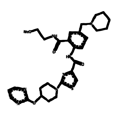 COCCNC(=O)c1cc(CN2CCCCC2)ccc1NC(=O)c1csc(N2CCC(Oc3ncccn3)CC2)n1